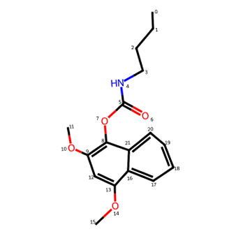 CCCCNC(=O)Oc1c(OC)cc(OC)c2ccccc12